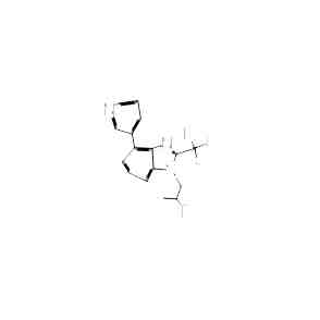 FC(F)Cn1c(C(F)(F)F)nc2c(-c3cc[c]nc3)cccc21